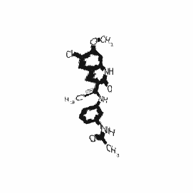 COc1cc2[nH]c(=O)c([C@H](C)Nc3cccc(NC(C)=O)c3)cc2cc1Cl